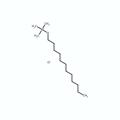 CCCCCCCCCCCCO[N+](C)(C)C.[Cl-]